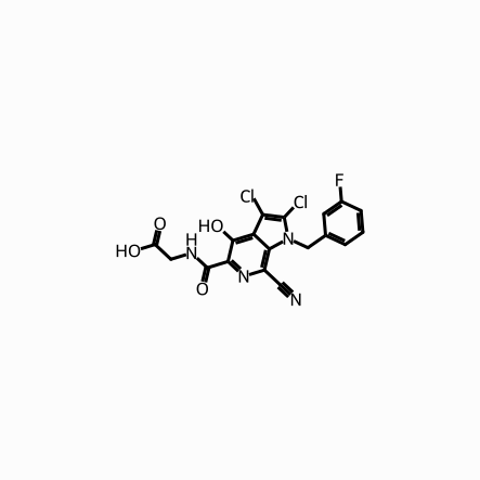 N#Cc1nc(C(=O)NCC(=O)O)c(O)c2c(Cl)c(Cl)n(Cc3cccc(F)c3)c12